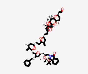 C=C1C[C@H](CCC23C[C@@H]4O[C@@H]5[C@@H](O[C@H]6CC[C@H](CC=O)O[C@@H]6[C@@H]5O2)[C@H]4O3)OC1CC[C@H]1C[C@@H](C)C(=C)[C@@H](CC2O[C@H](C[C@@H](CN3C(=O)c4ccccc4C3=O)O[Si](C)(C)C(C)(C)C)[C@H](C)C2CCc2ccccc2)O1